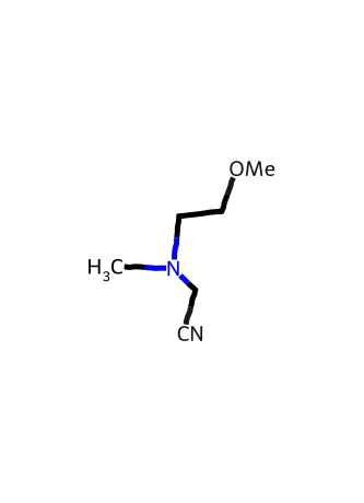 COCCN(C)CC#N